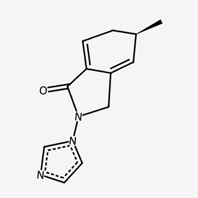 C[C@H]1C=C2CN(n3ccnc3)C(=O)C2=CC1